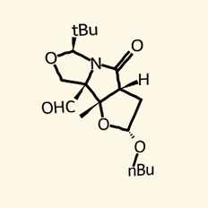 CCCCO[C@H]1C[C@H]2C(=O)N3[C@H](C(C)(C)C)OC[C@@]3(C=O)[C@@]2(C)O1